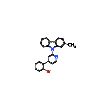 Cc1ccc2c3ccccc3n(-c3cc(-c4ccccc4Br)ccn3)c2c1